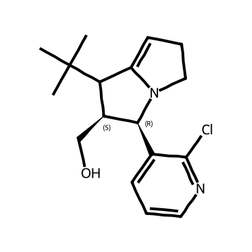 CC(C)(C)C1C2=CCCN2[C@@H](c2cccnc2Cl)[C@H]1CO